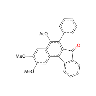 COc1cc2c(OC(C)=O)c(-c3ccccc3)c3c(c2cc1OC)-c1ccccc1C3=O